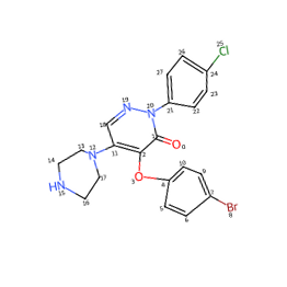 O=c1c(Oc2ccc(Br)cc2)c(N2CCNCC2)cnn1-c1ccc(Cl)cc1